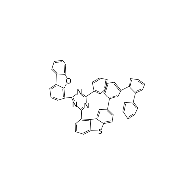 c1ccc(-c2nc(-c3cccc4c3oc3ccccc34)nc(-c3cccc4sc5ccc(-c6cccc(-c7ccccc7-c7ccccc7)c6)cc5c34)n2)cc1